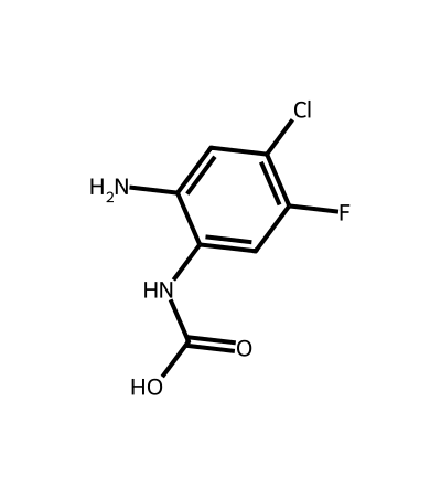 Nc1cc(Cl)c(F)cc1NC(=O)O